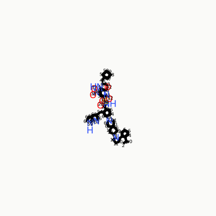 CC(C)c1ccccc1C1CCCN1C1CCC2(CC1)CCN(c1ccc(C(=O)NS(=O)(=O)c3cc([N+](=O)[O-])c4c(n3)OC[C@H](Cc3ccccc3)N4)c(Cc3cnc4[nH]ccc4c3)c1)CC2